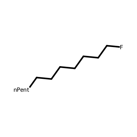 CCCCCCCCCCCCF